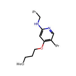 COCCCOc1cc(NCC(C)C)ncc1C(C)C